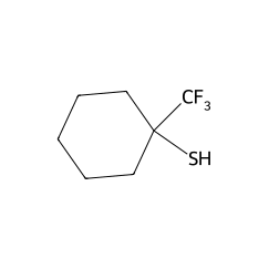 FC(F)(F)C1(S)CCCCC1